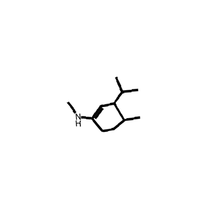 CNC1=CC(C(C)C)C(C)CC1